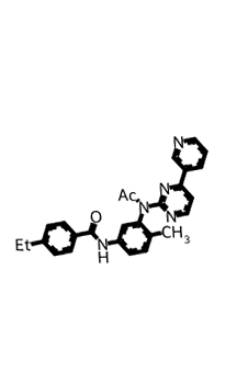 CCc1ccc(C(=O)Nc2ccc(C)c(N(C(C)=O)c3nccc(-c4cccnc4)n3)c2)cc1